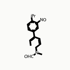 C/C=C(\C=C/CN(C)C=O)c1ccc(C(C)C)c(N=O)c1